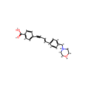 O=C(O)c1ccc(C#CC=Cc2ccc(CN3CCOCC3)cc2)cc1